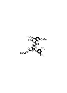 CC[C@@H]1C[C@H](Nc2ncc(NC(=O)OCCO)c(Cc3cc(C(F)(F)F)cc(C(F)(F)F)c3)n2)c2nc(OC)ccc2N1C(=O)O